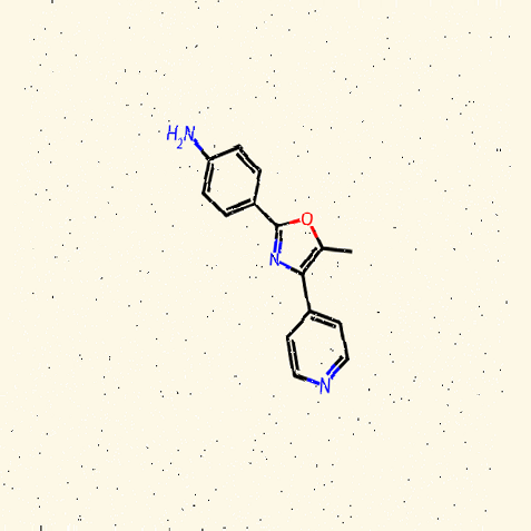 Cc1oc(-c2ccc(N)cc2)nc1-c1ccncc1